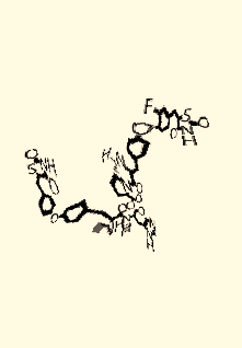 NC(Cc1ccc(Oc2ccc(CC3SC(=O)NC3=O)cc2)cc1)C(=O)NC(Cc1cnc[nH]1)C(=O)OC(=O)C1CCCN1C(=O)C(N)Cc1ccc(Oc2ccc(CC3SC(=O)NC3=O)cc2F)cc1